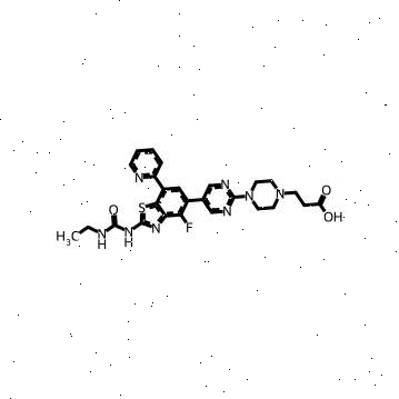 CCNC(=O)Nc1nc2c(F)c(-c3cnc(N4CCN(CCC(=O)O)CC4)nc3)cc(-c3ccccn3)c2s1